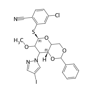 COC1C(n2cc(I)cn2)[C@H]2OC(c3ccccc3)OCC2O[C@@H]1Sc1cc(Cl)ccc1C#N